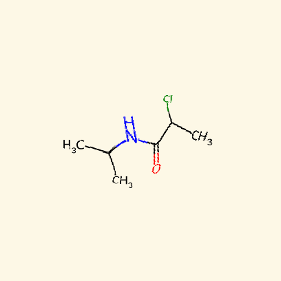 CC(C)NC(=O)C(C)Cl